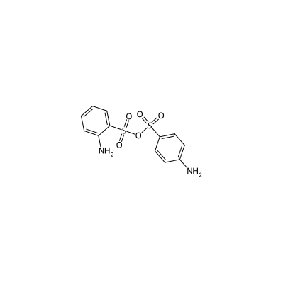 Nc1ccc(S(=O)(=O)OS(=O)(=O)c2ccccc2N)cc1